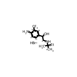 Br.CCC(C)(C)NCC(O)c1ccc(N)c(C(F)(F)F)c1